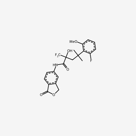 COc1cccc(F)c1C(C)(C)CC(O)(C(=O)Nc1ccc2c(c1)COC2=O)C(F)(F)F